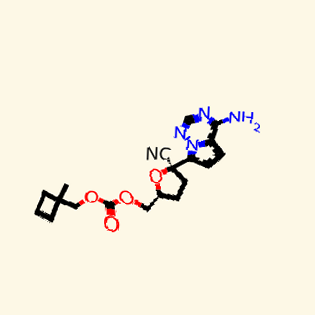 CC1(COC(=O)OC[C@@H]2CC[C@](C#N)(c3ccc4c(N)ncnn34)O2)CCC1